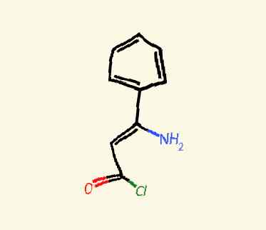 NC(=CC(=O)Cl)c1ccccc1